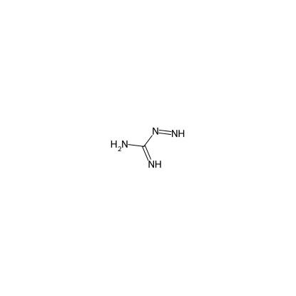 N=NC(=N)N